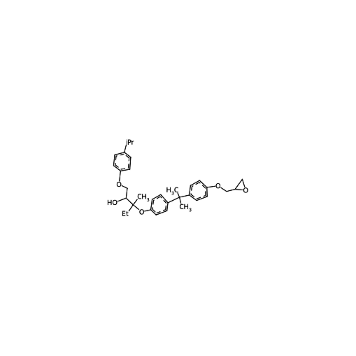 CCC(C)(Oc1ccc(C(C)(C)c2ccc(OCC3CO3)cc2)cc1)C(O)COc1ccc(C(C)C)cc1